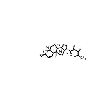 CC(NC(=O)[C@H]1CC[C@H]2[C@@H]3CC[C@H]4NC(=O)C=C[C@]4(C)[C@H]3CC[C@]12C)C(C)C(F)(F)F